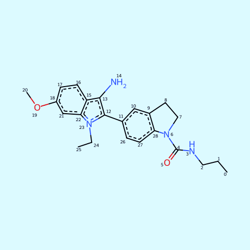 CCCNC(=O)N1CCc2cc(-c3c(N)c4ccc(OC)cc4n3CC)ccc21